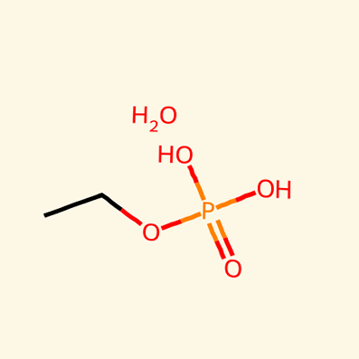 CCOP(=O)(O)O.O